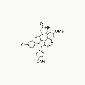 COC1=CC(OC(C)C)=C(C2=NC(c3ccc(OC)cc3)C(c3ccc(Cl)cc3)N2C(=O)N2C=CNC(=O)C2)CC1